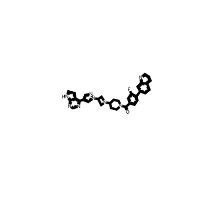 O=C(c1ccc(-c2ccc3cccnc3c2)c(F)c1)N1CCC(N2C[C](n3cc(-c4ncnc5[nH]ccc45)cn3)C2)CC1